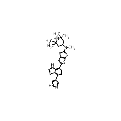 CN(c1nc2sc(-c3ccc(-c4cn[nH]c4)c4nc[nH]c34)nc2s1)C1CC(C)(C)NC(C)(C)C1